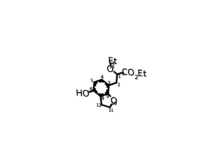 CCOC(=O)C(Cc1ccc(O)c2c1OCC2)OCC